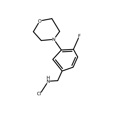 Fc1ccc(CNCl)cc1N1CCOCC1